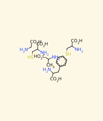 CC(N)C(=O)O.NC(CS)C(=O)O.NC(CS)C(=O)O.NC(Cc1ccccc1)C(=O)O.NCC(=O)O